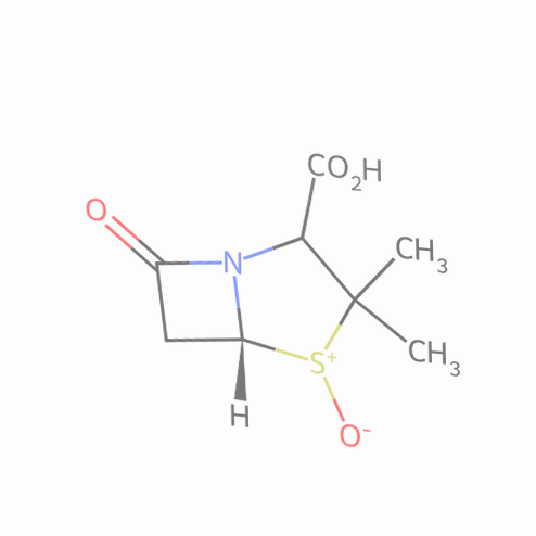 CC1(C)C(C(=O)O)N2C(=O)C[C@H]2[S+]1[O-]